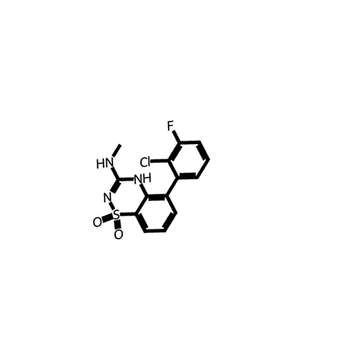 CNC1=NS(=O)(=O)c2cccc(-c3cccc(F)c3Cl)c2N1